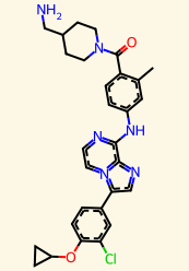 Cc1cc(Nc2nccn3c(-c4ccc(OC5CC5)c(Cl)c4)cnc23)ccc1C(=O)N1CCC(CN)CC1